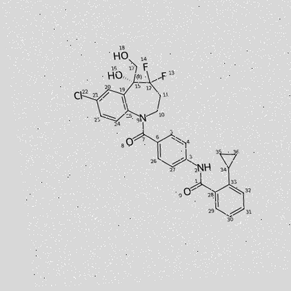 O=C(Nc1ccc(C(=O)N2CCC(F)(F)[C@](O)(CO)c3cc(Cl)ccc32)cc1)c1ccccc1C1CC1